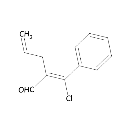 C=CCC(C=O)=C(Cl)c1ccccc1